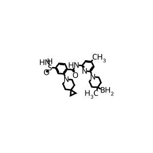 BC1(C)CCN(c2cc(C)cc(NC(=O)c3ccc([SH](=N)=O)cc3N3CCC4(CC3)CC4)n2)CC1